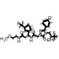 COCCNC(=O)C[C@H](NC(=O)Cn1nc(-c2ccc(Cl)cc2)n(C[C@H](O)C(F)(F)F)c1=O)c1cccc(C(F)(F)F)c1